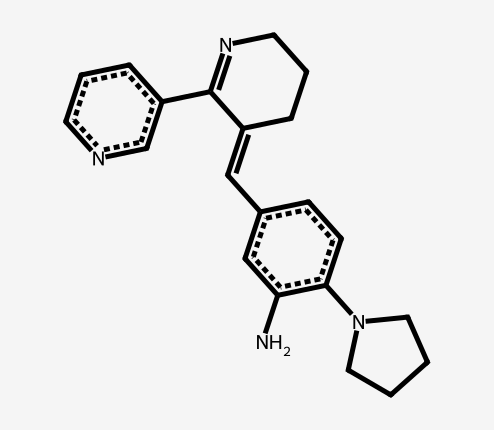 Nc1cc(C=C2CCCN=C2c2cccnc2)ccc1N1CCCC1